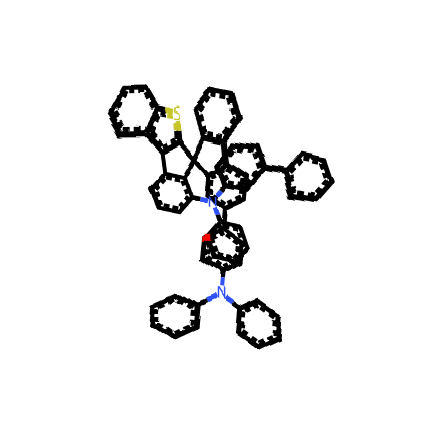 c1ccc(-c2cccc(N(c3ccccc3)c3cccc4c3C3(c5ccccc5-c5ccc(-c6ccc(N(c7ccccc7)c7ccccc7)cc6)cc53)c3sc5ccccc5c3-4)c2)cc1